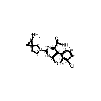 Cc1nc(N2CCC3(CC3N)C2)nc(C(N)=O)c1-c1cccc(Cl)c1Cl